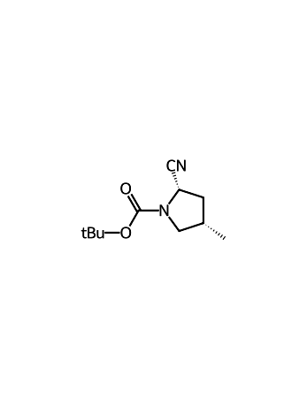 C[C@H]1C[C@@H](C#N)N(C(=O)OC(C)(C)C)C1